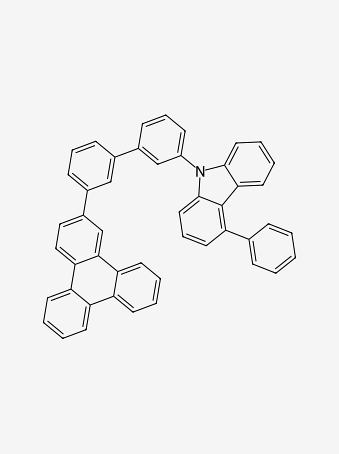 c1ccc(-c2cccc3c2c2ccccc2n3-c2cccc(-c3cccc(-c4ccc5c6ccccc6c6ccccc6c5c4)c3)c2)cc1